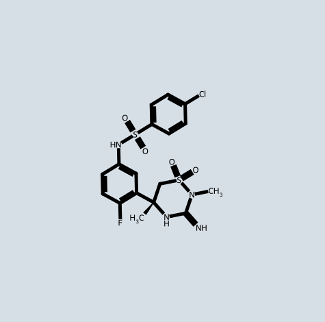 CN1C(=N)N[C@](C)(c2cc(NS(=O)(=O)c3ccc(Cl)cc3)ccc2F)CS1(=O)=O